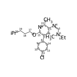 CCN(C)/C=N\c1cc(-c2ccc(Cl)cc2)c(OCCCC(C)C)nc1C